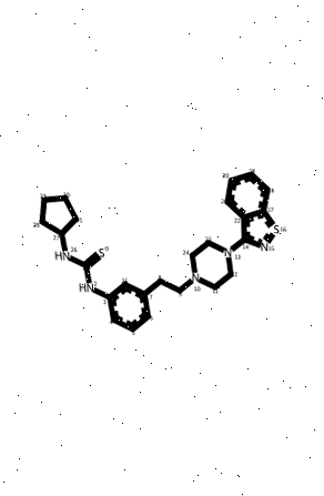 S=C(Nc1cccc(CCN2CCN(c3nsc4ccccc34)CC2)c1)NC1CCCC1